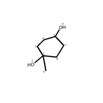 CC1(O)CC[C](O)CC1